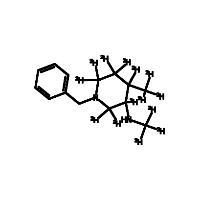 [2H]C([2H])([2H])NC1([2H])C([2H])([2H])N(Cc2ccccc2)C([2H])([2H])C([2H])([2H])C1([2H])C([2H])([2H])[2H]